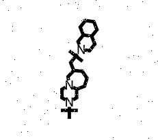 CC(C)(C)N1CCN2CC(CC(C)(C)N3CCC4CCCCC4C3)CCCC2C1